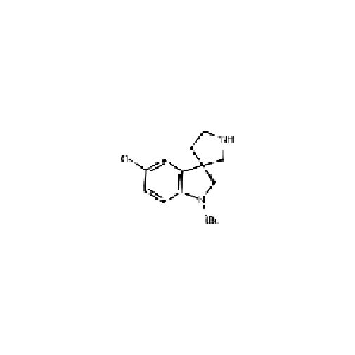 CC(C)(C)N1C[C@]2(CCNC2)c2cc(Cl)ccc21